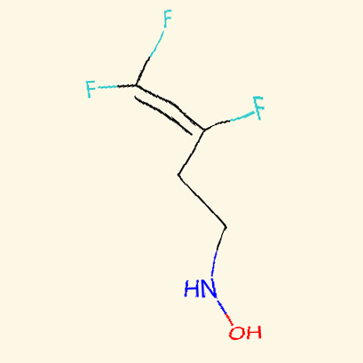 ONCCC(F)=C(F)F